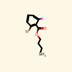 O=C(OCCC[SiH3])c1c(Br)cccc1I